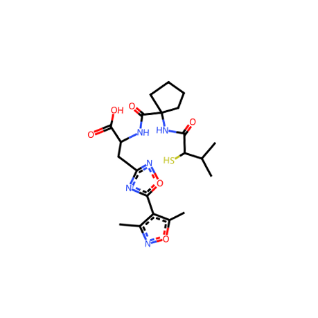 Cc1noc(C)c1-c1nc(CC(NC(=O)C2(NC(=O)C(S)C(C)C)CCCC2)C(=O)O)no1